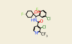 O=C(NC(c1cc(Cl)ccc1F)[C@]1(O)CC[C@H](F)CC1)c1ccnc(C(F)(F)F)c1Cl